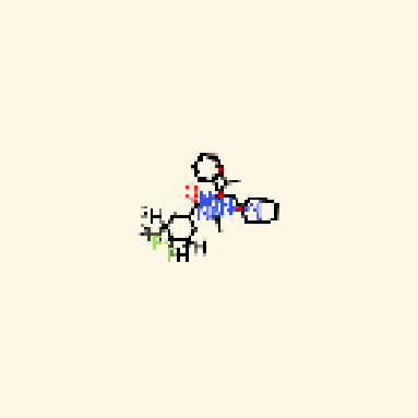 [2H]C1([2H])CC(C(=O)NC(CCN2C3CCC2CC(n2c(C)nnc2C(C)C)C3)c2ccccc2)CC([2H])([2H])C1(F)F